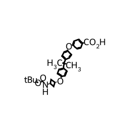 CC(C)(C)OC(=O)N[C@H]1C[C@H](Oc2ccc(C(C)(C)c3ccc(Oc4ccc(C(=O)O)cc4)cc3)cc2)C1